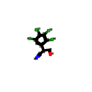 N#CC(C=O)c1cc(F)c(Cl)c(Cl)c1Cl